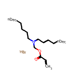 Br.C=CC(=O)OCN(CCCCCCCCCCCCCC)CCCCCCCCCCCCCC